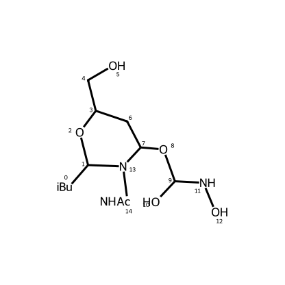 CCC(C)C1OC(CO)CC(OC(O)NO)N1NC(C)=O